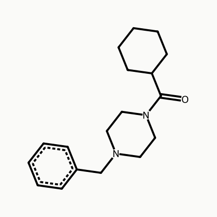 O=C(C1CCCCC1)N1CCN(Cc2ccccc2)CC1